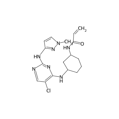 C=CC(=O)NC1CCCC(Nc2nc(Nc3ccn(C)n3)ncc2Cl)C1